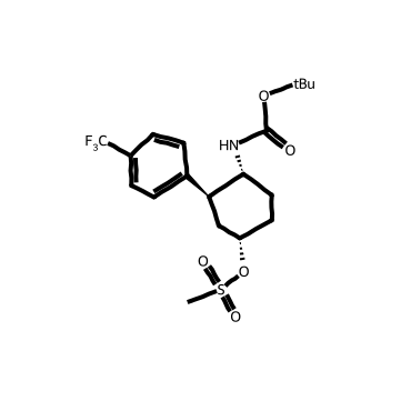 CC(C)(C)OC(=O)N[C@@H]1CC[C@H](OS(C)(=O)=O)C[C@H]1c1ccc(C(F)(F)F)cc1